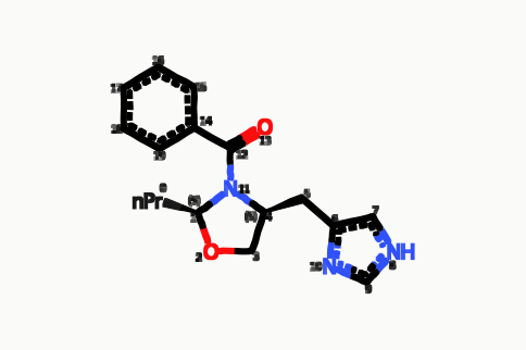 CCC[C@@H]1OC[C@H](Cc2c[nH]cn2)N1C(=O)c1ccccc1